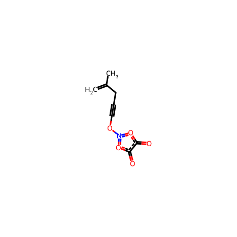 C=C(C)CC#COn1oc(=O)c(=O)o1